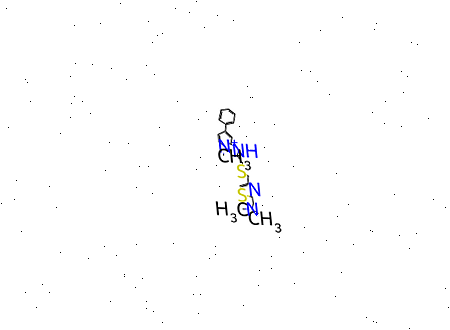 CN(C)Cc1nc(CSCCNc2cc(-c3ccccc3)cc[n+]2C)cs1